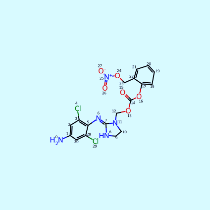 Nc1cc(Cl)c(/N=C2\NCCN2COC(=O)Oc2ccccc2CO[N+](=O)[O-])c(Cl)c1